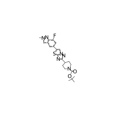 Cn1cc2cc(-c3cn4nc(C5CCN(C(=O)OC(C)(C)C)CC5)nc4s3)cc(F)c2n1